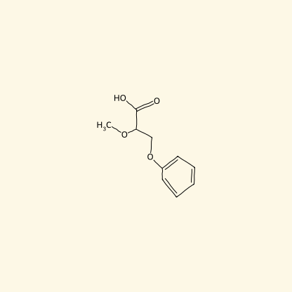 COC(COc1ccccc1)C(=O)O